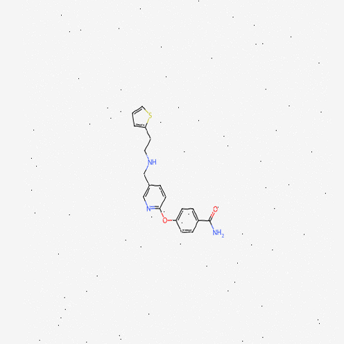 NC(=O)c1ccc(Oc2ccc(CNCCc3cccs3)cn2)cc1